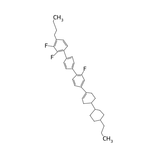 CCCCc1ccc(-c2ccc(-c3ccc(C4=CCC(C5CCC(CCC)CC5)CC4)cc3F)cc2)c(F)c1F